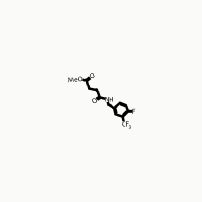 COC(=O)CCC(=O)NCc1ccc(F)c(C(F)(F)F)c1